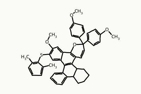 COc1ccc(C2(c3ccc(OC)cc3)C=Cc3c4c(c5cc(Sc6c(C)cccc6C)c(OC)cc5c3O2)-c2ccccc2C2CCCCC42)cc1